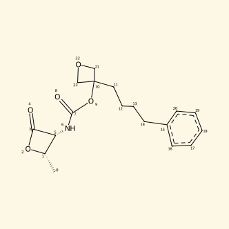 C[C@@H]1OC(=O)[C@@H]1NC(=O)OC1(CCCCc2ccccc2)COC1